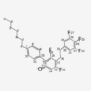 CCCCCCCc1ccc(-c2c([O])cc(F)c(CCc3cc(F)c(F)c(F)c3)c2F)cc1